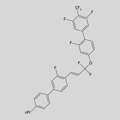 CCCc1ccc(-c2ccc(/C=C/C(F)(F)Oc3ccc(-c4cc(F)c(C(F)(F)F)c(F)c4)c(F)c3)c(F)c2)cc1